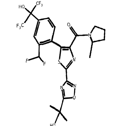 CC1CCCN1C(=O)c1nc(-c2noc(C(C)(C)O)n2)sc1-c1ccc(C(O)(C(F)(F)F)C(F)(F)F)cc1C(F)F